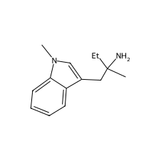 CCC(C)(N)Cc1cn(C)c2ccccc12